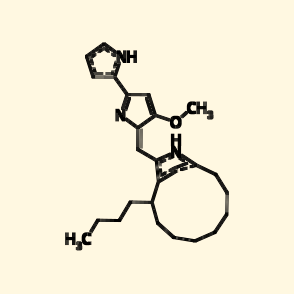 CCCCC1CCCCCCCc2cc1c(C=C1N=C(c3ccc[nH]3)C=C1OC)[nH]2